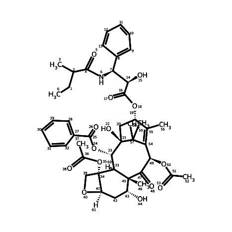 CCC(C)C(=O)N[C@@H](c1ccccc1)[C@@H](O)C(=O)O[C@H]1C[C@@]2(O)[C@@H](OC(=O)c3ccccc3)[C@@H]3[C@]4(OC(C)=O)CO[C@@H]4C[C@@H](O)[C@@]3(C)C(=O)[C@H](OC(C)=O)C(=C1C)C2(C)C